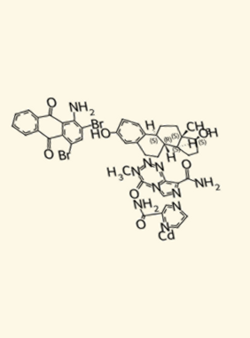 C[C@]12CC[C@@H]3c4ccc(O)cc4CC[C@H]3[C@@H]1CC[C@@H]2O.Cn1nnc2c(C(N)=O)ncn2c1=O.NC(=O)c1cnccn1.Nc1c(Br)cc(Br)c2c1C(=O)c1ccccc1C2=O.[Cd]